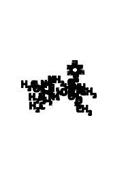 C=CCN(CCOCP(=O)(N[C@@H](C)C(=O)OCC)OCc1ccccc1)c1nc(N)nc(OC)c1N